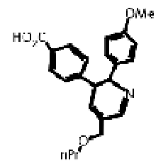 CCCOCC1=CC(c2ccc(C(=O)O)cc2)C(c2ccc(OC)cc2)N=C1